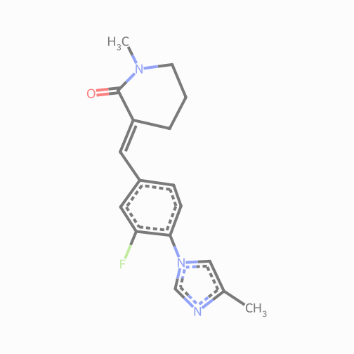 Cc1cn(-c2ccc(/C=C3\CCCN(C)C3=O)cc2F)cn1